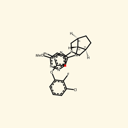 COc1cc(N2C[C@H]3CC[C@@H](C2)[C@@H]3Nc2nc(Oc3cccc(Cl)c3F)n(C(C)C)n2)cnn1